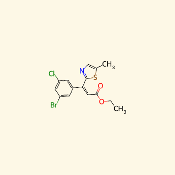 CCOC(=O)C=C(c1cc(Cl)cc(Br)c1)c1ncc(C)s1